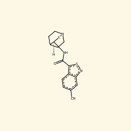 N#Cc1ccc2c(C(=O)N[C@@H]3CN4CCC3CC4)snc2c1